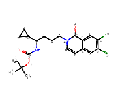 CC(C)(C)OC(=O)NC(CCCn1ccc2cc(Br)c(F)cc2c1=O)C1CC1